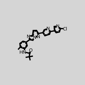 Cc1ccc(-c2cn3nc(-c4ccc(-c5ccc(Cl)nc5)nc4)ccc3n2)cc1NC(=O)C(C)(C)C